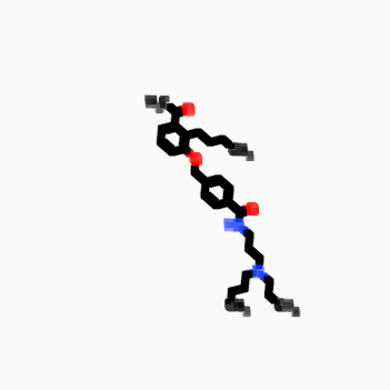 CCCCc1c(OCc2ccc(C(=O)NCCCN(CCC)CCCC)cc2)cccc1C(C)=O